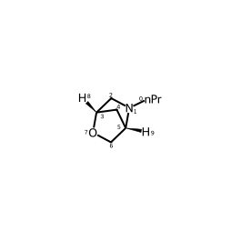 CCCN1C[C@@H]2C[C@H]1CO2